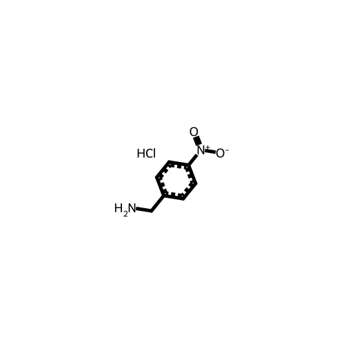 Cl.NCc1ccc([N+](=O)[O-])cc1